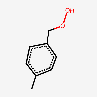 Cc1ccc(COO)cc1